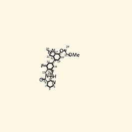 [2H]C1([2H])c2ncccc2C(=O)N1Cc1c(F)cc(-c2ccc(O[C@H](C)COC)c3nn(C)cc23)cc1F